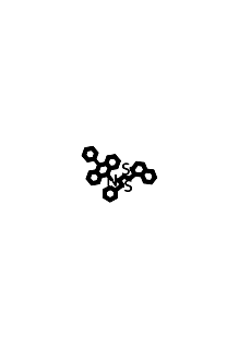 c1ccc(-c2c3ccccc3c(-n3c4ccccc4c4sc5c(sc6ccc7ccccc7c65)c43)c3ccccc23)cc1